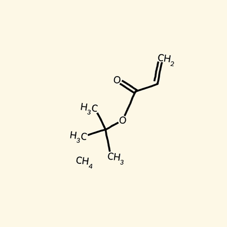 C.C=CC(=O)OC(C)(C)C